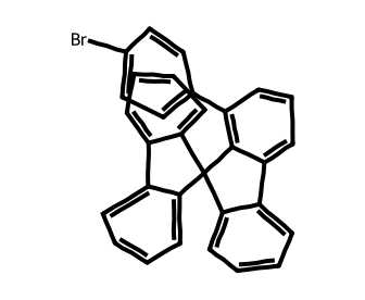 Brc1ccc(-c2cccc3c2C2(c4ccccc4-c4ccccc42)c2ccccc2-3)cc1